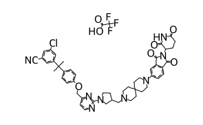 CC(C)(c1ccc(OCc2ccnc(N3CCC(CN4CCC5(CC4)CCN(c4ccc6c(c4)C(=O)N(C4CCC(=O)NC4=O)C6=O)CC5)C3)n2)cc1)c1cc(Cl)cc(C#N)c1.O=C(O)C(F)(F)F